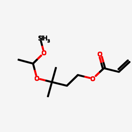 C=CC(=O)OCCC(C)(C)OC(C)O[SiH3]